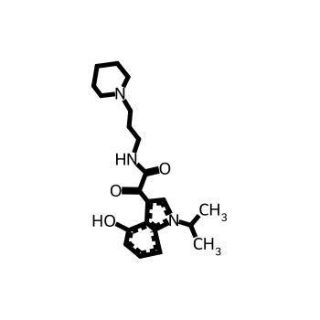 CC(C)n1cc(C(=O)C(=O)NCCCN2CCCCC2)c2c(O)cccc21